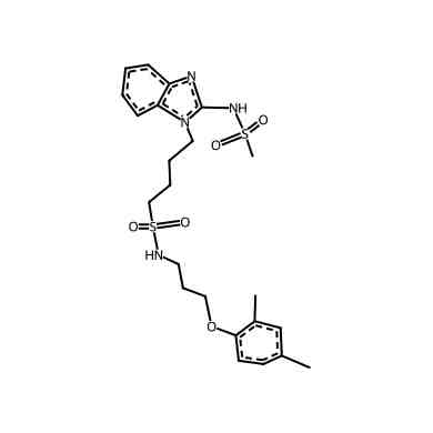 Cc1ccc(OCCCNS(=O)(=O)CCCCn2c(NS(C)(=O)=O)nc3ccccc32)c(C)c1